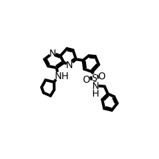 O=S(=O)(NCc1ccccc1)c1cccc(-c2ccc3nccc(NC4CCCCC4)c3n2)c1